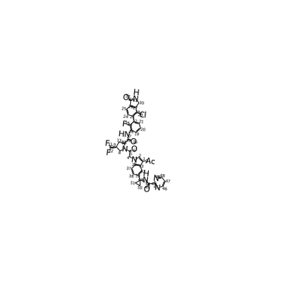 CC(=O)c1cn(CC(=O)N2CC(=C(F)F)C[C@H]2C(=O)Nc2cccc(-c3ccc4c(c3Cl)CNC4=O)c2F)c2ccc(C3(NC(=O)c4ncccn4)CC3)cc12